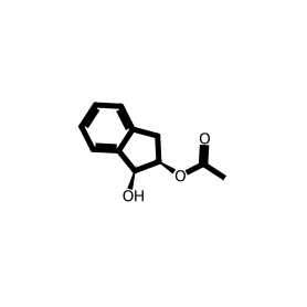 CC(=O)O[C@@H]1Cc2ccccc2[C@@H]1O